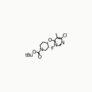 Cc1c(Cl)ncnc1O[C@H]1CCN(C(=O)OC(C)(C)C)C[C@H]1F